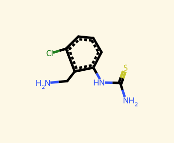 NCc1c(Cl)cccc1NC(N)=S